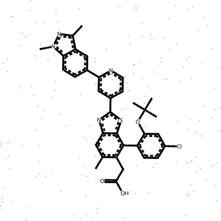 Cc1cc2nc(-c3ccnc(-c4ccc5c(c4)c(C)nn5C)c3)sc2c(-c2ccc(Cl)cc2OC(C)(C)C)c1CC(=O)O